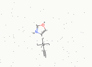 C#C[Si](C)(C)C.c1cocn1